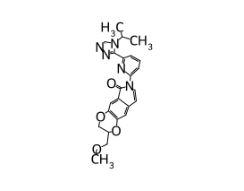 COCC1COc2cc3c(=O)n(-c4cccc(-c5nncn5C(C)C)n4)ccc3cc2O1